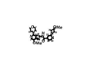 COc1cnc(N2CCOCC2)c2sc(NC(=O)c3ccnc(N4CC(OC)C4)c3)nc12